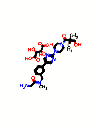 CN(Cc1cccc(-c2cnc(N3CCN(C(=O)C(C)(C)CO)CC3)nc2)c1)C(=O)CN.O=C(O)C(O)C(O)C(=O)O